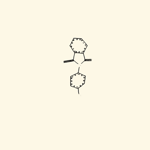 Oc1ccc(N2C(=S)c3ccccc3C2=S)cc1